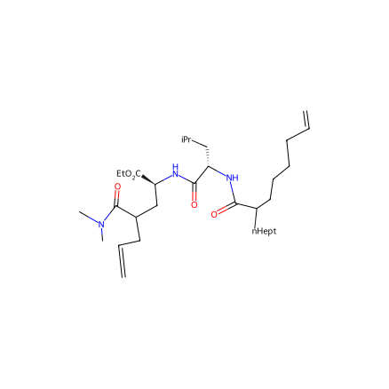 C=CCCCCC(CCCCCCC)C(=O)N[C@@H](CC(C)C)C(=O)N[C@@H](CC(CC=C)C(=O)N(C)C)C(=O)OCC